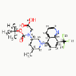 C[C@H]1C[C@@H](N(CC(=O)O)C(=O)OC(C)(C)C)CN(c2ccc(C(F)(F)F)c3ncccc23)C1